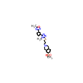 Cc1nc(-c2cccc(-c3nnc(SCCCN4CCc5ccc(S(C)(=O)=O)cc5CC4)n3C)c2)no1